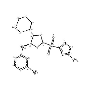 Cn1cnc(S(=O)(=O)N2C[C@@H](Nc3cccc(C(F)(F)F)c3)[C@H](C3CCCOC3)C2)c1